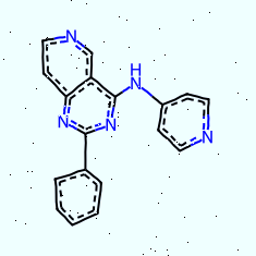 c1ccc(-c2nc(Nc3ccncc3)c3cnccc3n2)cc1